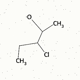 CCC(Cl)C(C)[O]